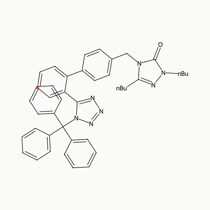 CCCCc1nn(CCCC)c(=O)n1Cc1ccc(-c2ccccc2-c2nnnn2C(c2ccccc2)(c2ccccc2)c2ccccc2)cc1